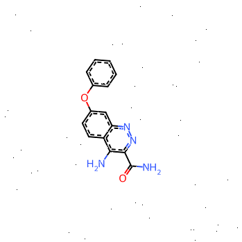 NC(=O)c1nnc2cc(Oc3ccccc3)ccc2c1N